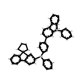 c1ccc(N(c2ccc(-c3ccc4c5ccccc5n(-c5ccccc5)c4c3)cc2)c2ccc3c(c2)C2(CCCC2)c2ccccc2-3)cc1